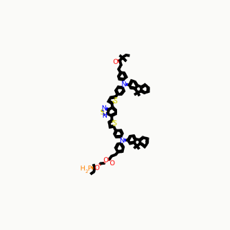 CCC(C)(P)OCCOC(=O)CCc1ccc(N(c2ccc(-c3ccc(-c4ccc(-c5ccc(-c6ccc(N(c7ccc(CCC(=O)C(C)(C)CC)cc7)c7ccc8c(c7)C(C)(C)c7ccccc7-8)cc6)s5)c5nsnc45)s3)cc2)c2ccc3c(c2)C(C)(C)c2ccccc2-3)cc1